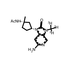 [2H]C([2H])([2H])n1c(=O)n([C@@H]2CC[C@](C)(NC(C)=O)C2)c2cc(N)ncc21